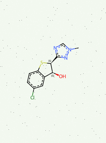 Cn1cnc([C@@H]2Sc3ccc(Cl)cc3[C@@H]2O)n1